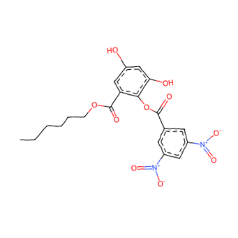 CCCCCCOC(=O)c1cc(O)cc(O)c1OC(=O)c1cc([N+](=O)[O-])cc([N+](=O)[O-])c1